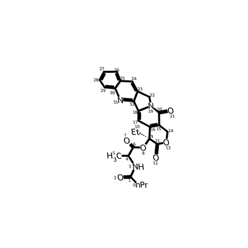 CCCC(=O)NC(C)C(=O)O[C@]1(CC)C(=O)OCc2c1cc1n(c2=O)Cc2cc3ccccc3nc2-1